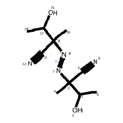 CC(O)C(C)(C#N)/N=N/C(C)(C#N)C(C)O